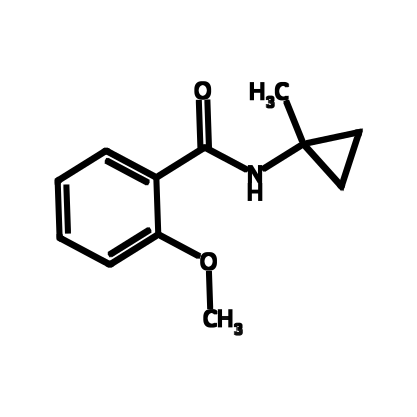 COc1ccccc1C(=O)NC1(C)CC1